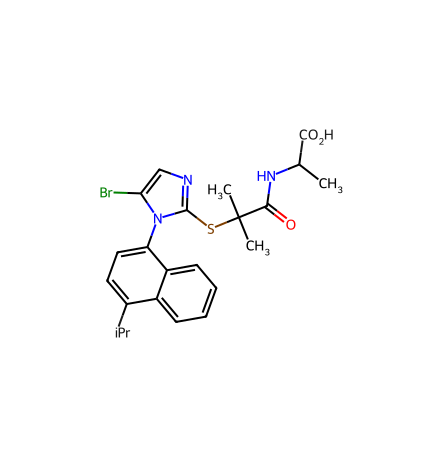 CC(NC(=O)C(C)(C)Sc1ncc(Br)n1-c1ccc(C(C)C)c2ccccc12)C(=O)O